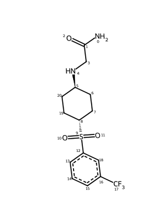 NC(=O)CN[C@H]1CC[C@H](S(=O)(=O)c2cccc(C(F)(F)F)c2)CC1